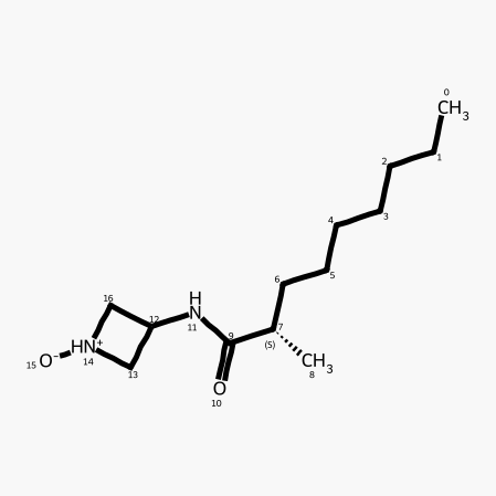 CCCCCCC[C@H](C)C(=O)NC1C[NH+]([O-])C1